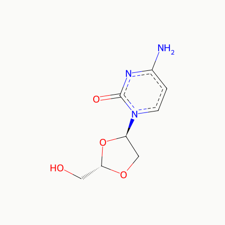 Nc1ccn([C@H]2CO[C@H](CO)O2)c(=O)n1